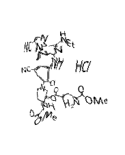 CCNc1nc(Nc2cc(C#N)cc(N3CC[C@@H](NC(=O)OC)[C@H](OC(=O)CC[C@H](N)C(=O)OC)C3)c2Cl)nn2c(C#N)cnc12.Cl